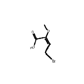 COC(=CCBr)C(=O)O